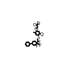 COC(=O)COc1cc(OC)c(SCCC2(C(F)(F)F)C=CC(c3ccccc3)C=C2)cc1C